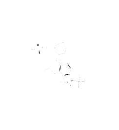 CCCc1c(O[C@H]2CCCC[C@H]2COS(C)(=O)=O)ccc2c(C(F)(F)F)noc12